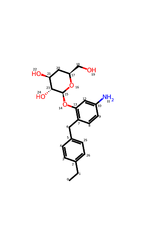 CCc1ccc(Cc2ccc(N)cc2O[C@@H]2O[C@H](CO)C[C@H](O)[C@H]2O)cc1